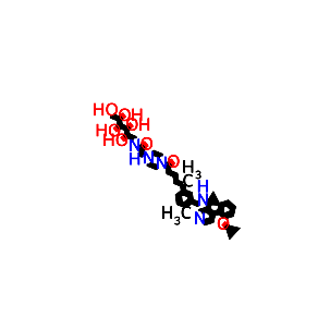 Cc1ccc(C(C)CCCC(=O)N2CCN(CC(=O)NCC(O)C(O)C(O)C(O)CO)CC2)cc1CNC1(c2cnccc2-c2ccccc2OC2CC2)CC1